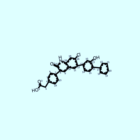 O=C(O)Cc1ccc(-c2cc3cc(-c4ccc(-c5ccccc5)c(O)c4)c(Cl)cc3[nH]c2=O)cc1